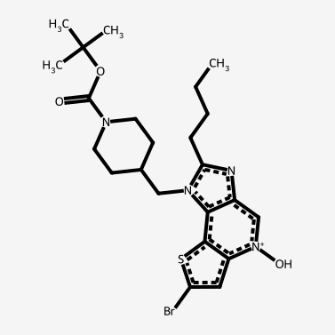 CCCCc1nc2c[n+](O)c3cc(Br)sc3c2n1CC1CCN(C(=O)OC(C)(C)C)CC1